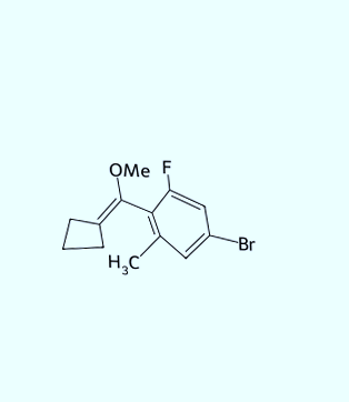 COC(=C1CCC1)c1c(C)cc(Br)cc1F